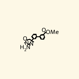 COC(=O)c1cccc(-c2cccc(C3(C)CC(=O)N(C)C(N)=N3)c2)c1